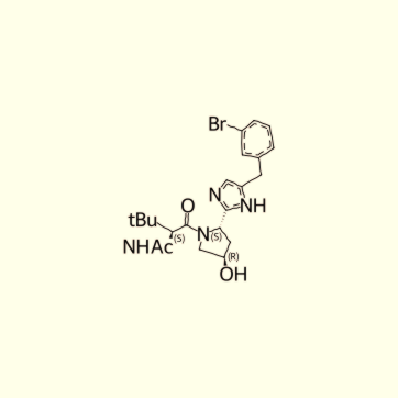 CC(=O)N[C@H](C(=O)N1C[C@H](O)C[C@H]1c1ncc(Cc2cccc(Br)c2)[nH]1)C(C)(C)C